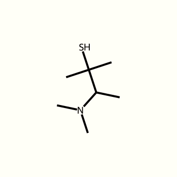 CC(N(C)C)C(C)(C)S